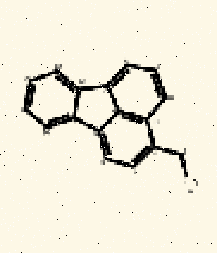 N#CCc1ccc2c3c(cccc13)-c1ccccc1-2